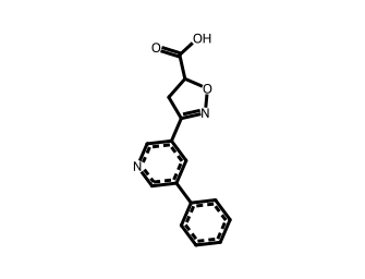 O=C(O)C1CC(c2cncc(-c3ccccc3)c2)=NO1